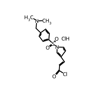 CN(C)Cc1ccc(S(=O)(=O)n2ccc(C=CC(=O)Cl)c2)cc1.Cl